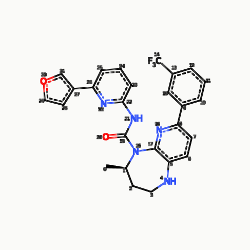 C[C@@H]1CCNc2ccc(-c3cccc(C(F)(F)F)c3)nc2N1C(=O)Nc1cccc(-c2ccoc2)n1